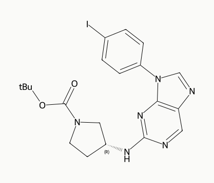 CC(C)(C)OC(=O)N1CC[C@@H](Nc2ncc3ncn(-c4ccc(I)cc4)c3n2)C1